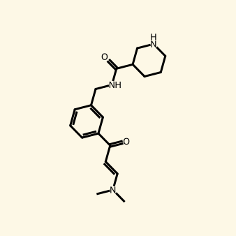 CN(C)C=CC(=O)c1cccc(CNC(=O)C2CCCNC2)c1